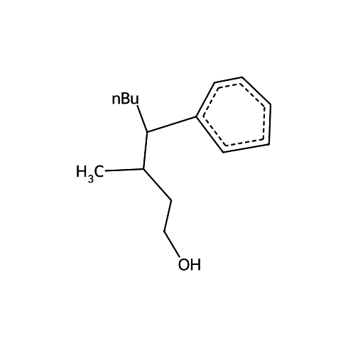 CCCCC(c1ccccc1)C(C)CCO